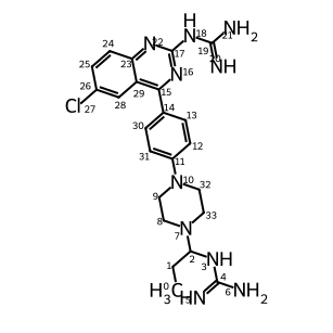 CCC(NC(=N)N)N1CCN(c2ccc(-c3nc(NC(=N)N)nc4ccc(Cl)cc34)cc2)CC1